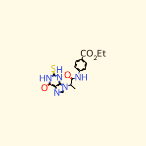 CCOC(=O)c1ccc(NC(=O)C(C)n2cnc3c(=O)[nH]c(=S)[nH]c32)cc1